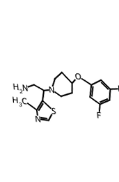 Cc1ncsc1C(CN)N1CCC(Oc2cc(F)cc(F)c2)CC1